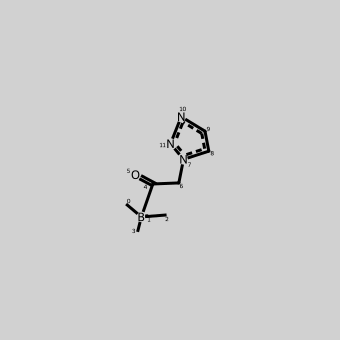 C[B-](C)(C)C(=O)Cn1ccnn1